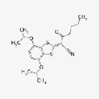 CCCCC(=O)C(C#N)=C1Sc2c(OC(C)C)ccc(OC(C)C)c2S1